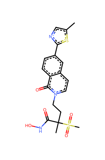 Cc1cnc(-c2ccc3c(=O)n(CCC(C)(C(=O)NO)S(C)(=O)=O)ccc3c2)s1